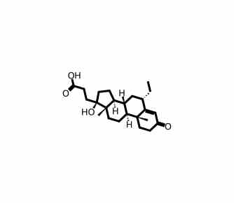 CC[C@H]1C[C@@H]2[C@H](CC[C@@]3(C)[C@H]2CC[C@@]3(O)CCC(=O)O)[C@@]2(C)CCC(=O)C=C12